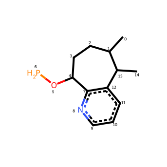 CC1CCC(OP)c2ncccc2C1C